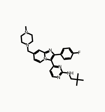 CN1CCN(Cc2ccn3c(-c4ccnc(NCC(C)(C)C)n4)c(-c4ccc(F)cc4)nc3c2)CC1